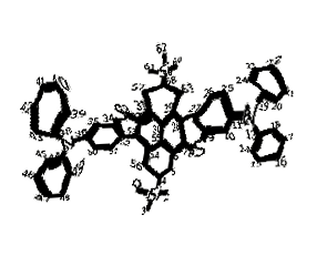 C[Si](C)(C)C1Cc2c3sc4cc(N(c5ccccc5)c5ccccc5)ccc4c3c3c4c(c5sc6cc(N(c7ccccc7)c7ccccc7)ccc6c5c(c24)C1)CC([Si](C)(C)C)C3